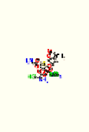 Cc1cc(=O)oc2cc(O[C@@H]3SC[C@@H](OC(=O)CN)[C@H](OC(=O)CN)[C@H]3OC(=O)CN)ccc12.Cl.Cl.Cl